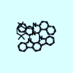 CC1(C)CCC(C)(C)c2c(-n3c4ccccc4c4ccc5c6ccccc6n(-c6nc(-c7ccccc7)nc7ccc8ccccc8c67)c5c43)cccc21